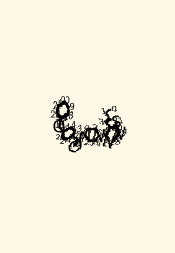 CCc1cc2c(N3CCN(C(=O)c4ccc(Oc5ccccc5)cc4)CC3)ncnc2s1